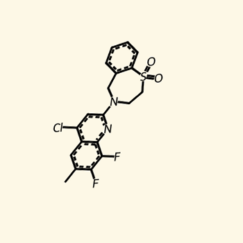 Cc1cc2c(Cl)cc(N3CCS(=O)(=O)c4ccccc4C3)nc2c(F)c1F